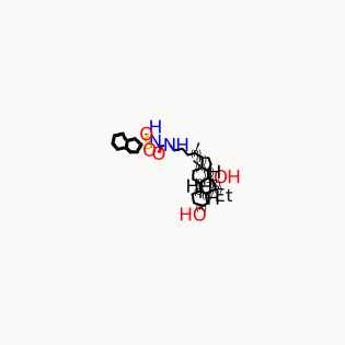 CC[C@H]1[C@@H](O)[C@@H]2[C@H](CC[C@]3(C)[C@@H]([C@H](C)CCCNC(=O)NS(=O)(=O)c4ccc5ccccc5c4)CC[C@@H]23)[C@@]2(C)CC[C@@H](O)C[C@@H]12